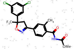 COC(=O)NC(=O)c1ccc(C2=NOC(c3cc(Cl)cc(Cl)c3)(C(F)(F)F)C2)cc1C